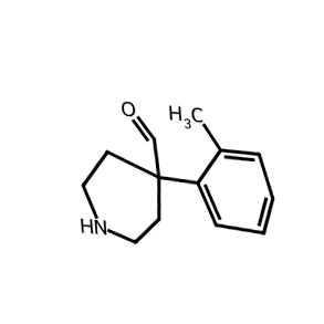 Cc1ccccc1C1(C=O)CCNCC1